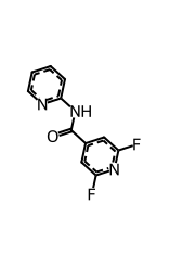 O=C(Nc1ccccn1)c1cc(F)nc(F)c1